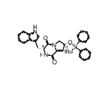 CC(C)(C)[Si](O[C@@H]1C=C2C(=O)N[C@H](Cc3c[nH]c4ccccc34)C(=O)N2C1)(c1ccccc1)c1ccccc1